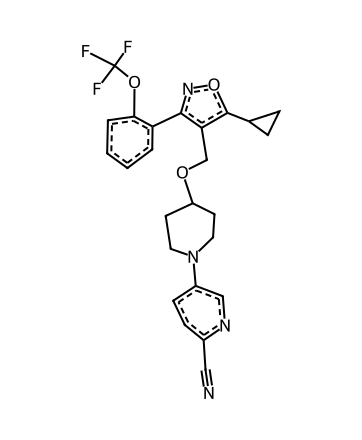 N#Cc1ccc(N2CCC(OCc3c(-c4ccccc4OC(F)(F)F)noc3C3CC3)CC2)cn1